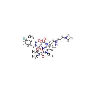 Cc1cc(CNC(=O)c2nc3n(c(=O)c2O)CC2(CNCCCN4CCC4)CCC3(N(C)C(=O)C(=O)N(C)C)CC2)ccc1F